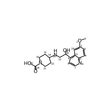 COc1ccc2nccc(C(O)CNC3CCN(C(=O)O)CC3)c2c1